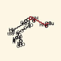 CN(CCOCCOCCON(C)C(=O)C1CC(N=[N+]=[N-])CN1C(=O)c1ccc2c(=O)oc(=O)n(C)c2c1)C(=O)CCC12c3cc(NC(=O)CCCCCCCNC(=O)OC(C)(C)C)ccc3C(c3ccc(NC(=O)CCCCCCCNC(=O)OC(C)(C)C)cc31)c1ccc(NC(=O)CCCCCCCNC(=O)OC(C)(C)C)cc12